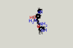 CCC1CC(O/C(N)=C/C=C(\N)c2ccc(-n3cccn3)cc2O)CC(C)(C)N1